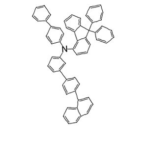 c1ccc(-c2ccc(N(c3cccc(-c4ccc(-c5cccc6ccccc56)cc4)c3)c3cccc4c3-c3ccccc3C4(c3ccccc3)c3ccccc3)cc2)cc1